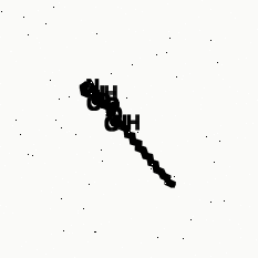 CCCCCCCCCCCCCCCCCCNC(=O)OCC(COC(=O)Nc1ccccn1)OC